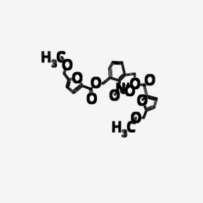 COCc1ccc(C(=O)OCc2cccc(COC(=O)c3ccc(COC)o3)c2[N+](=O)[O-])o1